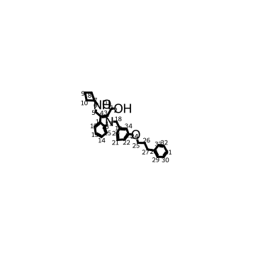 O=C(O)c1c(CNC2CCC2)c2ccccc2n1Cc1cccc(OCCCc2ccccc2)c1